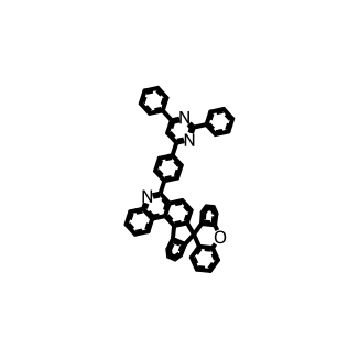 c1ccc(-c2cc(-c3ccc(-c4nc5ccccc5c5c6c(ccc45)C4(c5ccccc5Oc5ccccc54)c4ccccc4-6)cc3)nc(-c3ccccc3)n2)cc1